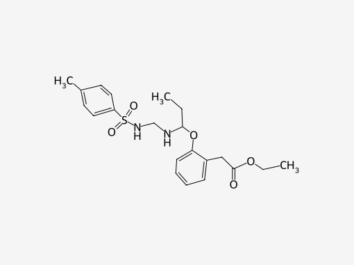 CCOC(=O)Cc1ccccc1OC(CC)NCNS(=O)(=O)c1ccc(C)cc1